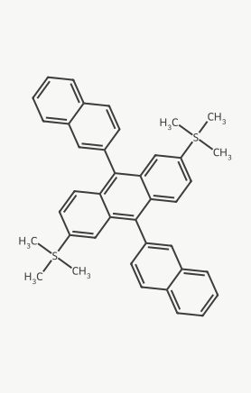 CS(C)(C)c1ccc2c(-c3ccc4ccccc4c3)c3cc(S(C)(C)C)ccc3c(-c3ccc4ccccc4c3)c2c1